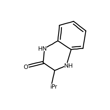 CC(C)C1Nc2ccccc2NC1=O